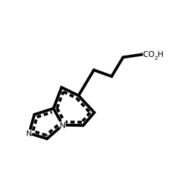 O=C(O)CCCc1ccn2cncc2c1